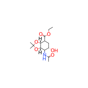 CCOC(=O)C1C[C@H](O)[C@@H](NC(C)=O)[C@@H]2OC(C)(C)O[C@H]12